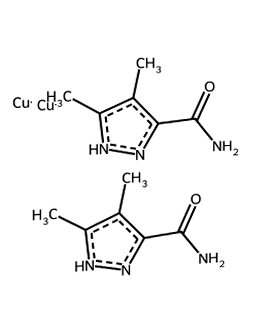 Cc1[nH]nc(C(N)=O)c1C.Cc1[nH]nc(C(N)=O)c1C.[Cu].[Cu]